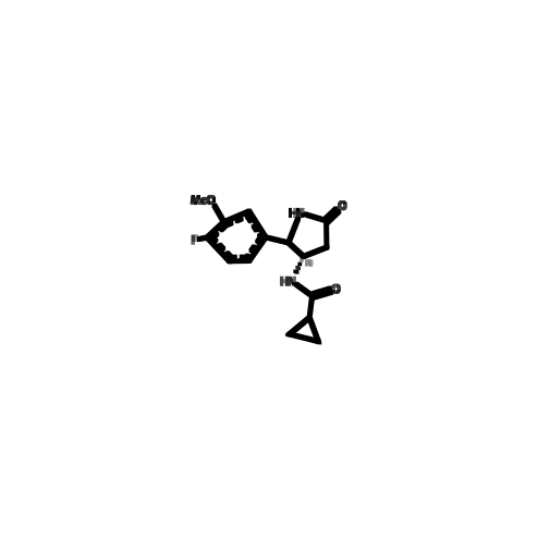 COc1cc(C2NC(=O)C[C@@H]2NC(=O)C2CC2)ccc1F